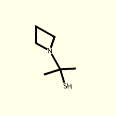 CC(C)(S)N1CCC1